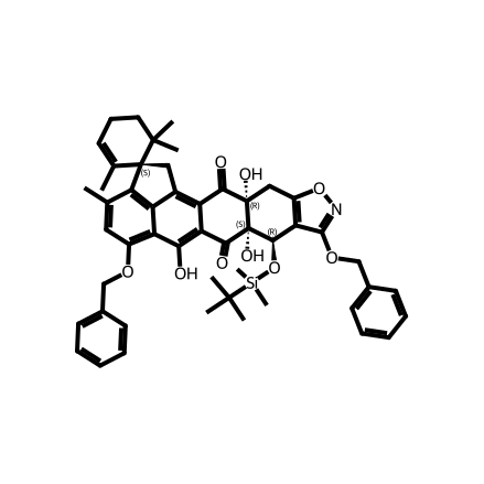 CC1=CCCC(C)(C)[C@@]12Cc1c3c(c(O)c4c(OCc5ccccc5)cc(C)c2c14)C(=O)[C@]1(O)[C@H](O[Si](C)(C)C(C)(C)C)c2c(OCc4ccccc4)noc2C[C@]1(O)C3=O